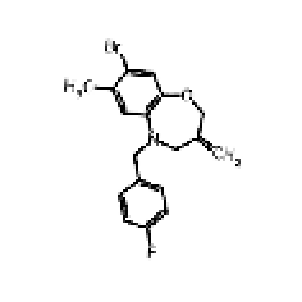 C=C1COc2cc(Br)c(C)cc2N(Cc2ccc(F)cc2)C1